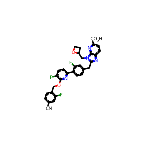 N#Cc1ccc(COc2nc(-c3ccc(Cc4nc5ccc(C(=O)O)nc5n4CC4CCO4)cc3F)ccc2F)c(F)c1